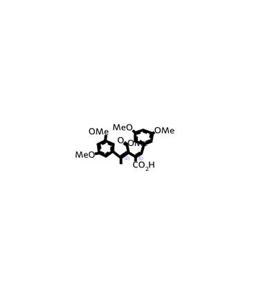 COC(=O)C(=C(/C)c1cc(OC)cc(OC)c1)/C(=C\c1cc(OC)cc(OC)c1)C(=O)O